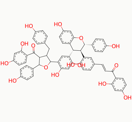 O=C(/C=C/c1ccc(O)c([C@H]2[C@H](c3cc(C4OC(c5ccc(O)cc5)C(C(=O)c5ccc(O)cc5O)C4Cc4ccc(O)cc4)c(O)cc3O)c3ccc(O)cc3O[C@@H]2c2ccc(O)cc2)c1)c1ccc(O)cc1O